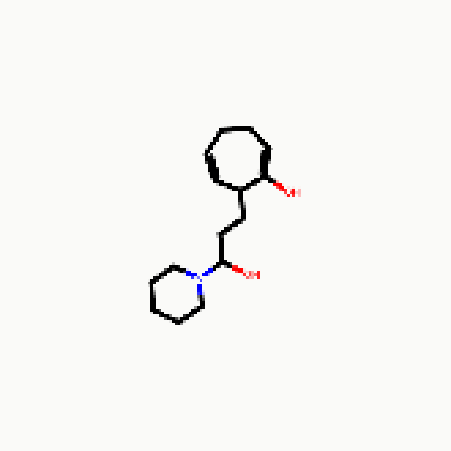 OC1=CCCC=CC1CCC(O)N1CCCCC1